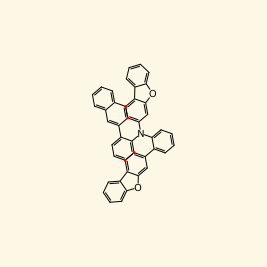 c1ccc(N(c2ccc3c(c2)oc2ccccc23)c2ccccc2-c2ccc3c(c2)oc2ccccc23)c(-c2ccc3ccccc3c2)c1